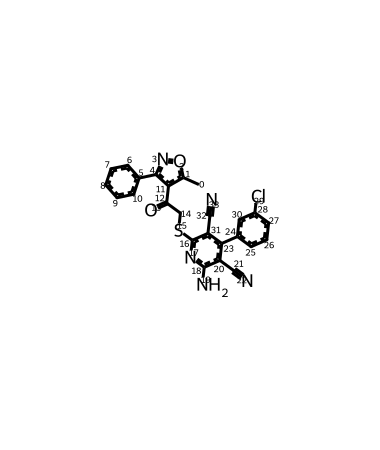 Cc1onc(-c2ccccc2)c1C(=O)CSc1nc(N)c(C#N)c(-c2cccc(Cl)c2)c1C#N